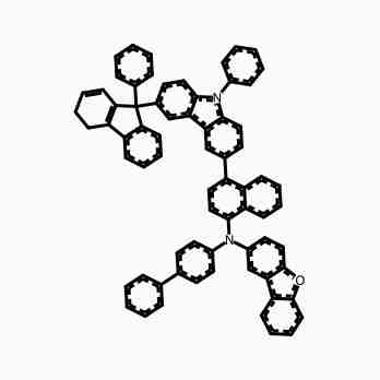 C1=CC2=C(CC1)c1ccccc1C2(c1ccccc1)c1ccc2c(c1)c1cc(-c3ccc(N(c4ccc(-c5ccccc5)cc4)c4ccc5oc6ccccc6c5c4)c4ccccc34)ccc1n2-c1ccccc1